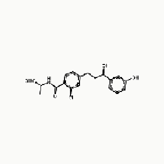 C[C@@H](C=O)NC(=O)c1ccc(CCC(O)c2cccc(O)c2)cc1Cl